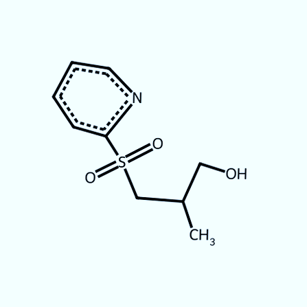 CC(CO)CS(=O)(=O)c1ccccn1